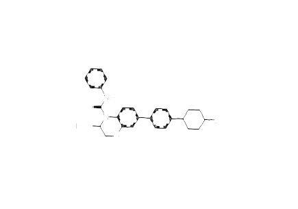 CCC1CCC(c2ccc(-c3ccc4c(c3)OCC(C)N4C(=O)Nc3ccccc3)cc2)CC1